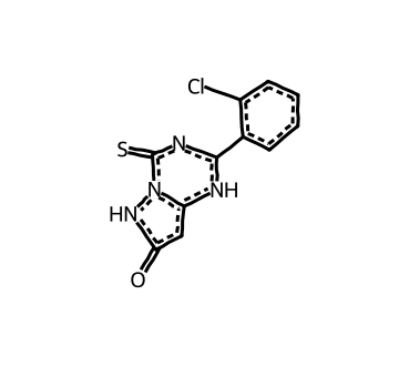 O=c1cc2[nH]c(-c3ccccc3Cl)nc(=S)n2[nH]1